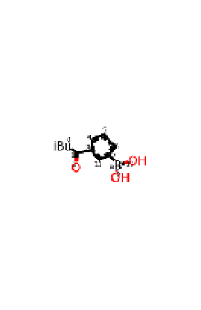 CCC(C)C(=O)c1cccc(B(O)O)c1